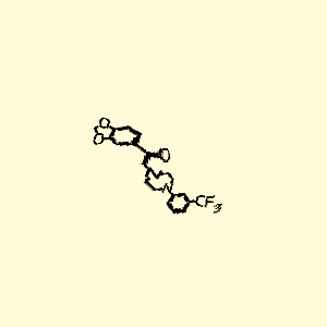 O=C(CN1CCN(c2cccc(C(F)(F)F)c2)CC1)c1ccc2c(c1)OCO2